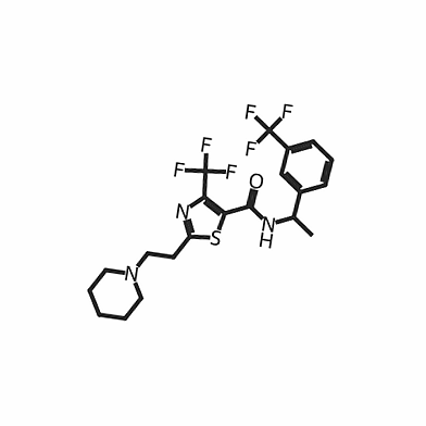 CC(NC(=O)c1sc(CCN2CCCCC2)nc1C(F)(F)F)c1cccc(C(F)(F)F)c1